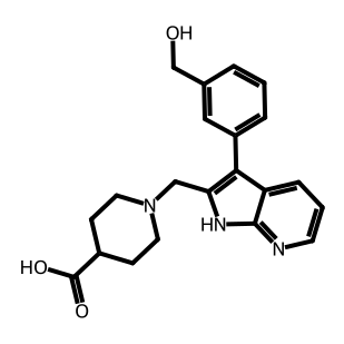 O=C(O)C1CCN(Cc2[nH]c3ncccc3c2-c2cccc(CO)c2)CC1